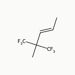 CC=CC(C)(C(F)(F)F)C(F)(F)F